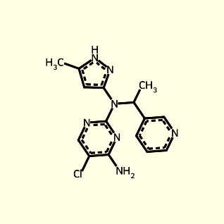 Cc1cc(N(c2ncc(Cl)c(N)n2)C(C)c2cccnc2)n[nH]1